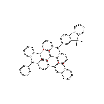 CC1(C)c2ccccc2-c2ccc(N(c3ccccc3)c3ccccc3C3=CCC(c4ccccc4N(c4ccccc4)c4ccc(-c5ccc6ccccc6c5)cc4)C=C3)cc21